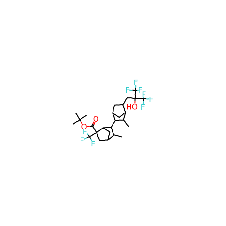 CC1C2CC(CC2CC(O)(C(F)(F)F)C(F)(F)F)C1C1C(C)C2CC1C(C(=O)OC(C)(C)C)(C(F)(F)F)C2